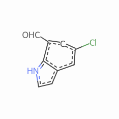 O=Cc1cc(Cl)cc2cc[nH]c12